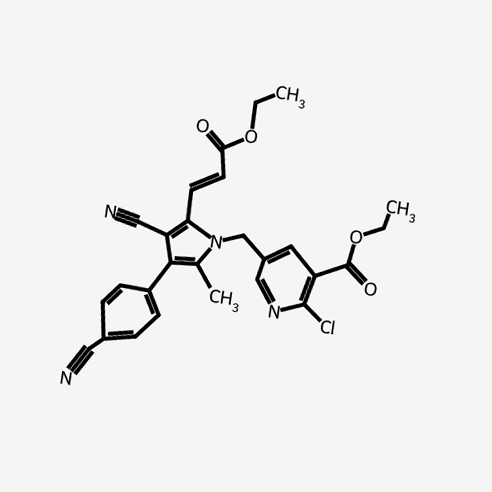 CCOC(=O)C=Cc1c(C#N)c(-c2ccc(C#N)cc2)c(C)n1Cc1cnc(Cl)c(C(=O)OCC)c1